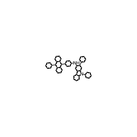 c1ccc(-c2cc3c(cc2Nc2ccc(-c4c5ccccc5c(-c5ccccc5)c5ccccc45)cc2)c2ccccc2n3-c2ccccc2)cc1